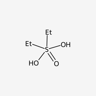 CCS(=O)(O)(O)CC